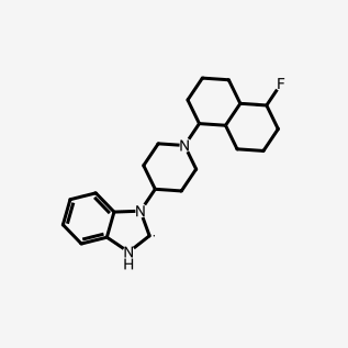 FC1CCCC2C1CCCC2N1CCC(N2[CH]Nc3ccccc32)CC1